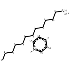 CCCCCCCCCCCCN.c1ccncc1